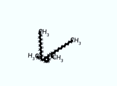 CCCCCCCCCCCCCN(CC)Cc1cccc(CN(CC)CCCCCCCCCCCCC)c1